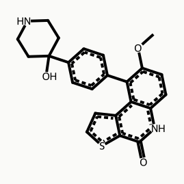 COc1ccc2[nH]c(=O)c3sccc3c2c1-c1ccc(C2(O)CCNCC2)cc1